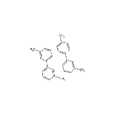 Cc1ccc(-c2cccc(C)c2)cc1.Cc1cccc(-c2cccc(C)c2)c1